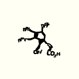 CCCc1cc(OC(=O)O)c(O)c(CCC)c1CCC